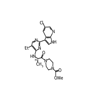 CCc1cnc(-c2c[nH]c3ncc(Cl)cc23)nc1N[C@H](C)C(=O)N1CCN(C(=O)OC)CC1